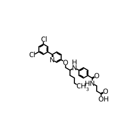 CCCCC(COc1ccc(-c2cc(Cl)cc(Cl)c2)nc1)Nc1ccc(C(=O)NCCC(=O)O)cc1